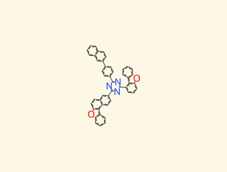 c1ccc2cc(-c3ccc(-c4nc(-c5ccc6c(ccc7oc8ccccc8c76)c5)nc(-c5cccc6oc7ccccc7c56)n4)cc3)ccc2c1